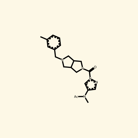 CC(=O)N(C)c1cnn(C(=O)N2CC3CN(Cc4cccc(C)c4)CC3C2)c1